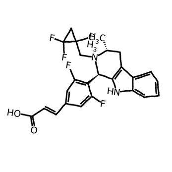 C[C@@H]1Cc2c([nH]c3ccccc23)[C@@H](c2c(F)cc(/C=C/C(=O)O)cc2F)N1CC1(C)CC1(F)F